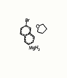 Brc1ccc2ccccc2c1.C1CCOC1.[MgH2]